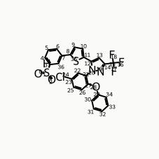 O=[SH](=O)c1cccc(-c2ccc(-c3cc(C(F)(F)F)nn3-c3cc(Cl)ccc3Oc3ccccc3)s2)c1